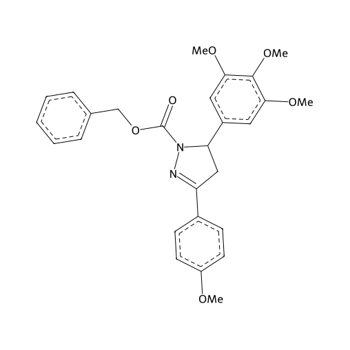 COc1ccc(C2=NN(C(=O)OCc3ccccc3)C(c3cc(OC)c(OC)c(OC)c3)C2)cc1